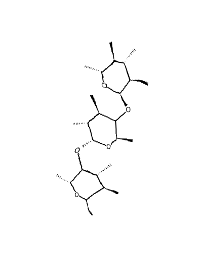 CC1O[C@H](C)C(O[C@H]2O[C@H](C)C(O[C@H]3O[C@H](C)[C@@H](C)[C@H](C)[C@H]3C)[C@H](C)[C@H]2C)[C@H](C)[C@H]1C